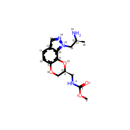 COC(=O)NC[C@H]1COc2ccc3cnn(C[C@H](C)N)c3c2O1